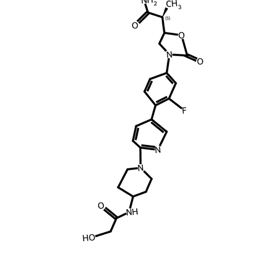 C[C@H](C(N)=O)C1CN(c2ccc(-c3ccc(N4CCC(NC(=O)CO)CC4)nc3)c(F)c2)C(=O)O1